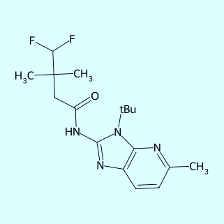 Cc1ccc2nc(NC(=O)CC(C)(C)C(F)F)n(C(C)(C)C)c2n1